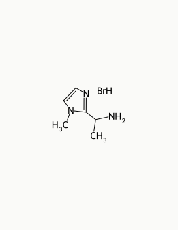 Br.CC(N)c1nccn1C